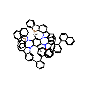 N#Cc1c(-n2c3c(c4ccc(-c5ccccc5-c5cccc6ccccc56)cc42)C=CC2c4ccccc4SC32)c(-n2c3ccccc3c3ccccc32)c(C#N)c(-n2c3cc(-c4ccccc4-c4cccc5ccccc45)ccc3c3ccc4c5ccccc5sc4c32)c1-n1c2c(c3ccccc31)C=CCC2